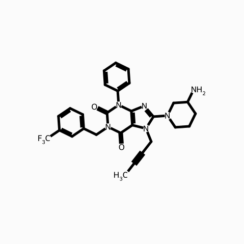 CC#CCn1c(N2CCCC(N)C2)nc2c1c(=O)n(Cc1cccc(C(F)(F)F)c1)c(=O)n2-c1ccccc1